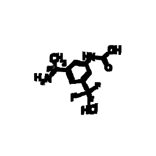 C[C@@H](N)c1cc(NC(=O)O)cc(C(F)(F)F)c1.Cl